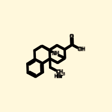 Br.CCC12CC3NC(Cc4ccccc41)C2CC3C(=O)O